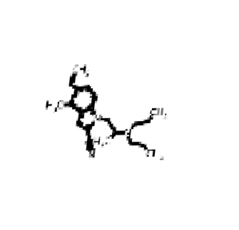 C=Cc1ccc2c(cc(C#N)n2CC(C)N(CCC)CCC)c1C